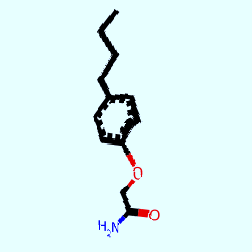 CCCCc1ccc(OCC(N)=O)cc1